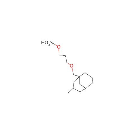 CC1CC2CCCC(COCCCOS(=O)(=O)O)(C1)C2